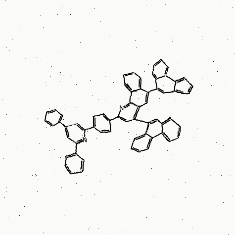 c1ccc(-c2cc(-c3ccccc3)nc(-c3ccc(-c4cc(-c5cc6ccccc6c6ccccc56)c5cc(-c6cc7ccccc7c7ccccc67)c6ccccc6c5n4)cc3)c2)cc1